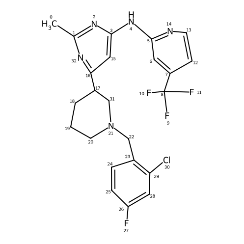 Cc1nc(Nc2cc(C(F)(F)F)ccn2)cc(C2CCCN(Cc3ccc(F)cc3Cl)C2)n1